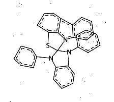 c1ccc(N2c3ccccc3N(c3ccccc3)C23Sc2cccc4c5ccccc5n3c24)cc1